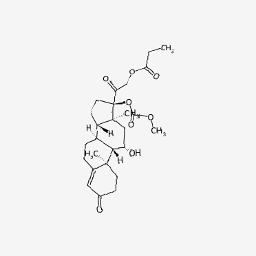 CCC(=O)OCC(=O)[C@@]1(OC(=O)OC)CC[C@H]2[C@@H]3CCC4=CC(=O)CC[C@]4(C)[C@H]3[C@@H](O)C[C@@]21C